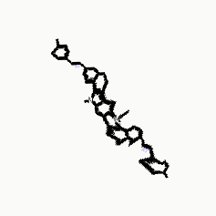 Cc1ccc(/C=C/c2ccc3c(ccc4c5cc6c(cc5n(C)c34)c3ccc4cc(/C=C/c5ccc(C)cc5)ccc4c3n6C)c2)cc1